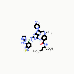 CN(Cc1cnc2nc(N)nc(N)c2n1)c1ccc(C(=O)NC(CCC(=O)O)C(=O)O)cc1.Clc1ccc2nsnc2c1NC1=NCCN1.Nc1ccncc1